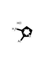 CC(=O)c1occc1N.Cl